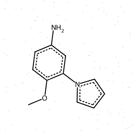 COc1ccc(N)cc1-n1cccc1